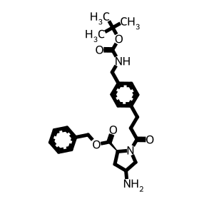 CC(C)(C)OC(=O)NCc1ccc(CCC(=O)N2CC(N)C[C@H]2C(=O)OCc2ccccc2)cc1